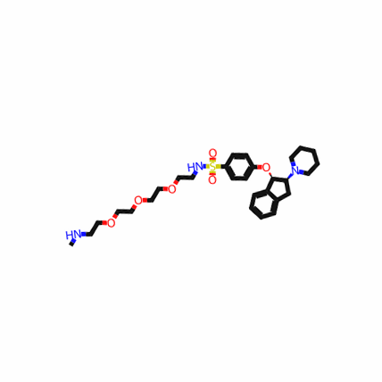 CNCCOCCOCCOCCNS(=O)(=O)c1ccc(O[C@H]2c3ccccc3C[C@@H]2N2CCCCC2)cc1